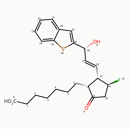 O=C(O)CCCCCC[C@H]1C(=O)C[C@H](F)[C@H]1C=C[C@@H](O)c1cc2ccccc2s1